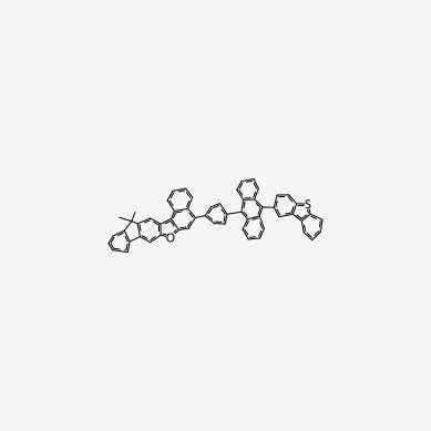 CC1(C)c2ccccc2-c2cc3oc4cc(-c5ccc(-c6c7ccccc7c(-c7ccc8sc9ccccc9c8c7)c7ccccc67)cc5)c5ccccc5c4c3cc21